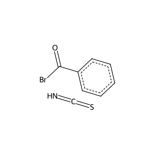 N=C=S.O=C(Br)c1ccccc1